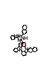 C1=CCC2CC3C(=CC2=C1)N(c1ccc(C2=NC(c4ccccc4)NC(c4ccc5c(c4)C=CCC5)N2)cc1)C1=C3C=CCC1N1c2ccccc2C2C=CC=CC21